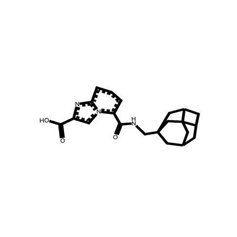 O=C(O)c1cn2c(C(=O)NCC34CC5CC6CC(C3)C6(C5)C4)cccc2n1